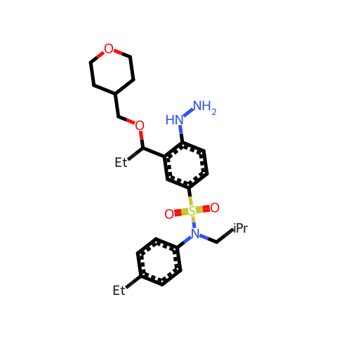 CCc1ccc(N(CC(C)C)S(=O)(=O)c2ccc(NN)c(C(CC)OCC3CCOCC3)c2)cc1